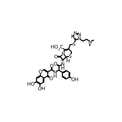 CN(C)CCn1nnnc1SCC1=C(C(=O)O)N2C(=O)[C@@H](NC(=O)C(NC(=O)c3coc4cc(O)c(O)cc4c3=O)c3ccc(O)cc3)[C@@H]2SC1